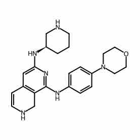 C1=Cc2cc(N[C@@H]3CCCNC3)nc(Nc3ccc(N4CCOCC4)cc3)c2CN1